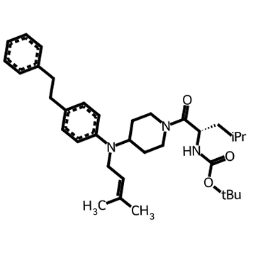 CC(C)=CCN(c1ccc(CCc2ccccc2)cc1)C1CCN(C(=O)[C@H](CC(C)C)NC(=O)OC(C)(C)C)CC1